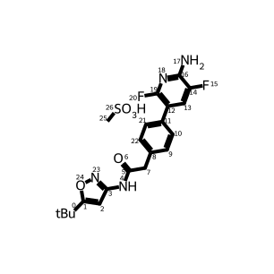 CC(C)(C)c1cc(NC(=O)Cc2ccc(-c3cc(F)c(N)nc3F)cc2)no1.CS(=O)(=O)O